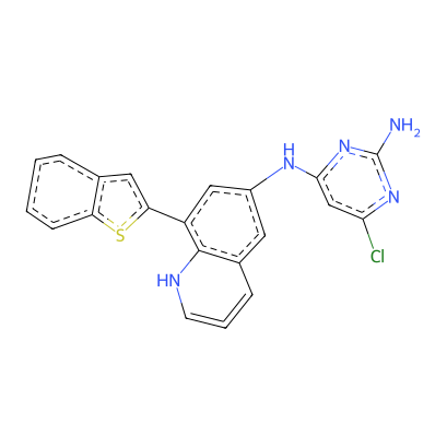 Nc1nc(Cl)cc(Nc2cc3c(c(-c4cc5ccccc5s4)c2)NC=C=C3)n1